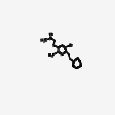 CCN(C)C=Nc1cc(Br)c(CCc2ccccc2)nc1C